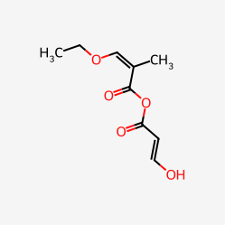 CCOC=C(C)C(=O)OC(=O)C=CO